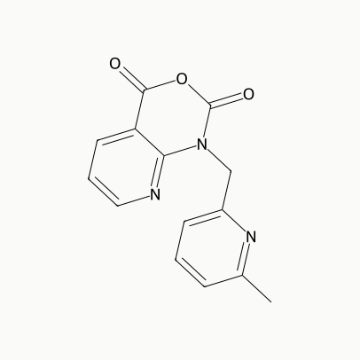 Cc1cccc(Cn2c(=O)oc(=O)c3cccnc32)n1